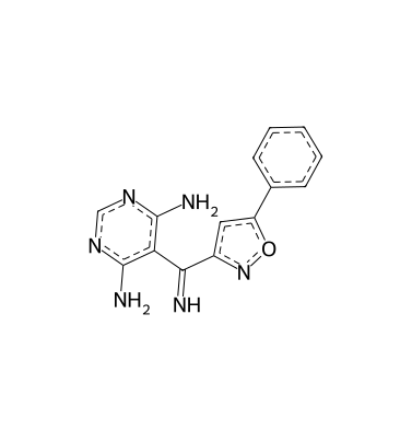 N=C(c1cc(-c2ccccc2)on1)c1c(N)ncnc1N